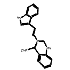 O=CC1c2ccccc2NCN1CCc1c[nH]c2ccccc12